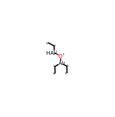 C[CH2][AlH][O][Al]([CH2]C)[CH2]C